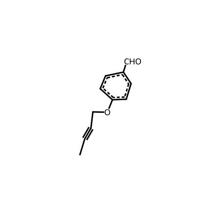 CC#CCOc1ccc(C=O)cc1